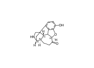 O=C1CC[C@@H]2[C@@H]3CCN[C@@H]2Cc2ccc(O)c4c2C3[C@H]1O4